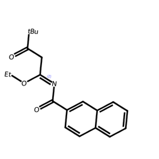 CCO/C(CC(=O)C(C)(C)C)=N\C(=O)c1ccc2ccccc2c1